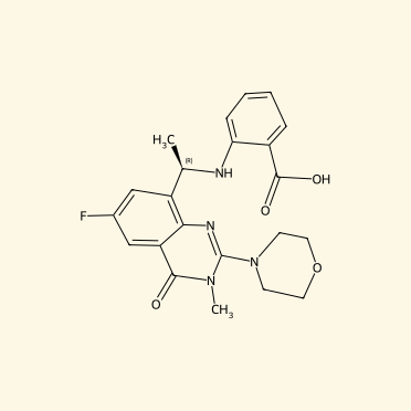 C[C@@H](Nc1ccccc1C(=O)O)c1cc(F)cc2c(=O)n(C)c(N3CCOCC3)nc12